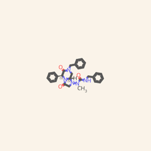 CN(C(=O)NCc1ccccc1)N1CC(=O)N2[C@@H](c3ccccc3)C(=O)N(Cc3ccccc3)C[C@@H]21